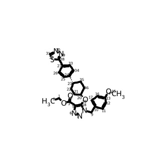 CCOC(=O)c1nnn(Cc2ccc(OC)cc2)c1O[C@H]1CC[C@H](c2ccc(-c3nncs3)cc2)CC1